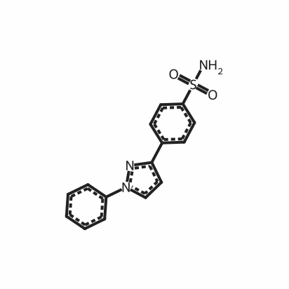 NS(=O)(=O)c1ccc(-c2ccn(-c3ccccc3)n2)cc1